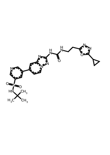 CC(C)(C)NS(=O)(=O)c1cncc(-c2ccn3nc(NC(=O)NCCc4nnc(C5CC5)o4)nc3c2)c1